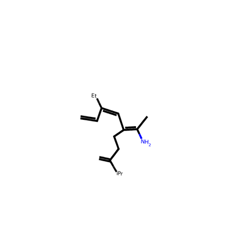 C=C/C(=C\C(CCC(=C)C(C)C)=C(/C)N)CC